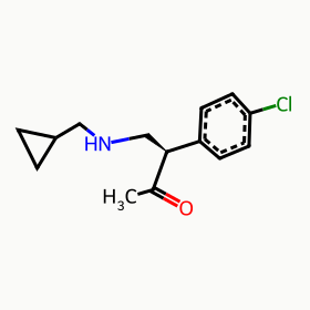 CC(=O)[C@@H](CNCC1CC1)c1ccc(Cl)cc1